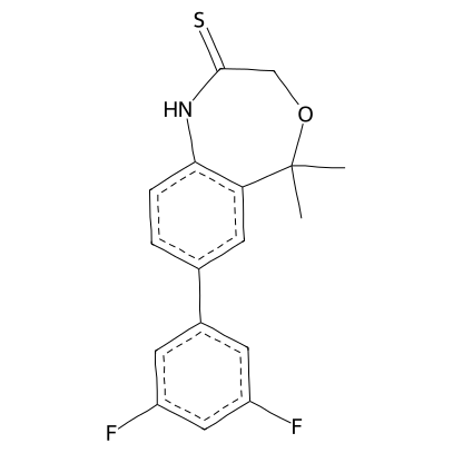 CC1(C)OCC(=S)Nc2ccc(-c3cc(F)cc(F)c3)cc21